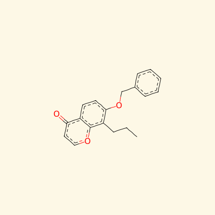 CCCc1c(OCc2ccccc2)ccc2c(=O)ccoc12